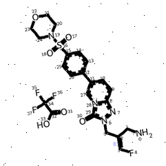 NC/C(=C\F)Cn1nc2ccc(-c3ccc(S(=O)(=O)N4CCOCC4)cc3)cn2c1=O.O=C(O)C(F)(F)F